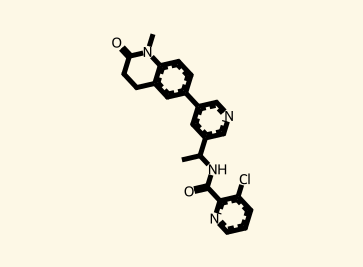 CC(NC(=O)c1ncccc1Cl)c1cncc(-c2ccc3c(c2)CCC(=O)N3C)c1